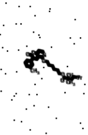 Cc1cccc(-c2cc3c(OCCCCCCOC(=O)C(C)(C)CCC(C)C)nccc3oc2=O)c1